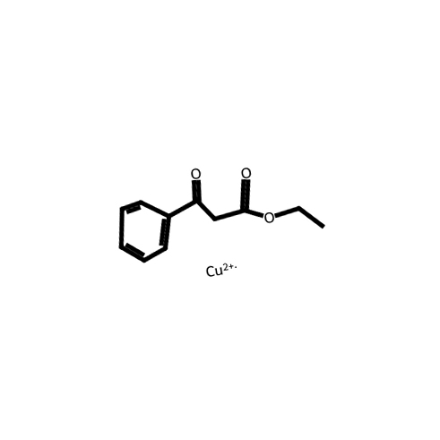 CCOC(=O)CC(=O)c1ccccc1.[Cu+2]